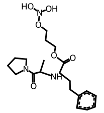 CC(NC(CCc1ccccc1)C(=O)OCCCON(O)O)C(=O)N1CCCC1